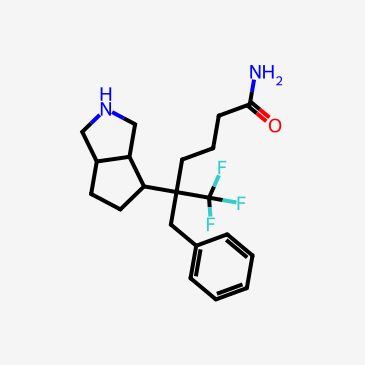 NC(=O)CCCC(Cc1ccccc1)(C1CCC2CNCC21)C(F)(F)F